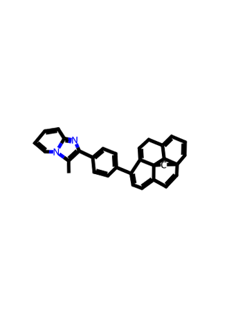 Cc1c(-c2ccc(C3=CC=C4C=CC56C=CC=C7CC=C3C4(C5)C76)cc2)nc2ccccn12